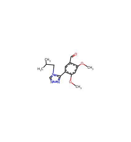 COc1cc(OC)c(-c2nncn2CC(C)C)cc1C=O